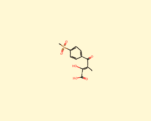 CC(C(=O)c1ccc(S(C)(=O)=O)cc1)=C(O)C(=O)O